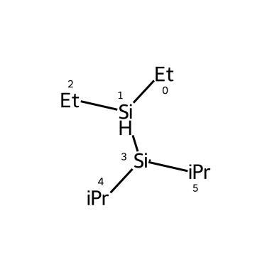 CC[SiH](CC)[Si](C(C)C)C(C)C